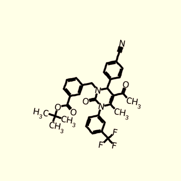 CC(=O)C1=C(C)N(c2cccc(C(F)(F)F)c2)C(=O)N(Cc2cccc(C(=O)OC(C)(C)C)c2)C1c1ccc(C#N)cc1